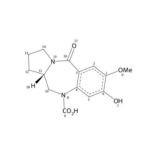 COc1cc2c(cc1O)N(C(=O)O)C[C@@H]1CCCN1C2=O